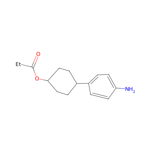 CCC(=O)OC1CCC(c2ccc(N)cc2)CC1